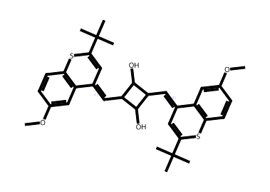 COc1ccc2c(c1)/C(=C/C1C(O)C(/C=C3\C=C(C(C)(C)C)Sc4ccc(OC)cc43)C1O)C=C(C(C)(C)C)S2